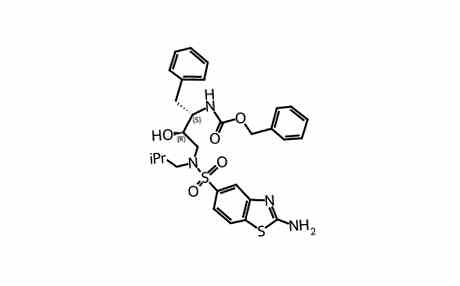 CC(C)CN(C[C@@H](O)[C@H](Cc1ccccc1)NC(=O)OCc1ccccc1)S(=O)(=O)c1ccc2sc(N)nc2c1